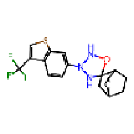 FC(F)(F)c1csc2cc(N3NOC4(CC5CCC4CC5)N3)ccc12